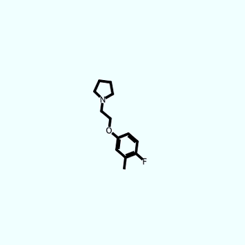 Cc1cc(OCCN2CCCC2)ccc1F